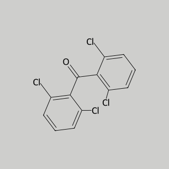 O=C(c1c(Cl)cccc1Cl)c1c(Cl)cccc1Cl